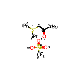 CC(C)[S+](CC(=O)C(C)(C)C)C(C)C.O=S(=O)([O-])C(F)(F)F